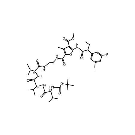 CCC(C(=O)Nc1sc(C(=O)NCCNC(=O)[C@@H](NC(=O)[C@@H](NC(=O)[C@@H](NC(=O)OC(C)(C)C)C(C)C)C(C)C)C(C)C)c(C)c1C(=O)OC)c1cc(F)cc(F)c1